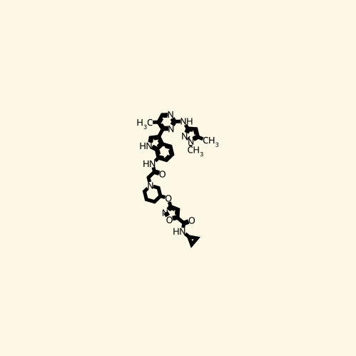 Cc1cnc(Nc2cc(C)n(C)n2)nc1-c1c[nH]c2c(NC(=O)CN3CCCC(Oc4cc(C(=O)NC5CC5)on4)C3)cccc12